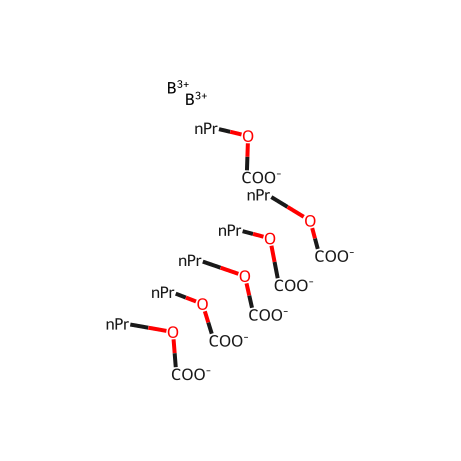 CCCOC(=O)[O-].CCCOC(=O)[O-].CCCOC(=O)[O-].CCCOC(=O)[O-].CCCOC(=O)[O-].CCCOC(=O)[O-].[B+3].[B+3]